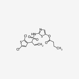 C=CC(c1cc(Cl)sc1Cl)S(=O)(=O)Nc1ncc(OC(=O)CCC)s1